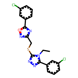 CCn1c(SCc2noc(-c3cccc(Cl)c3)n2)nnc1-c1cccc(Cl)c1